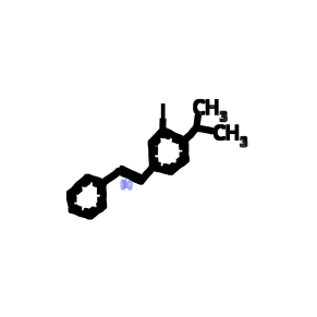 CC(C)c1ccc(/C=C/c2ccccc2)cc1I